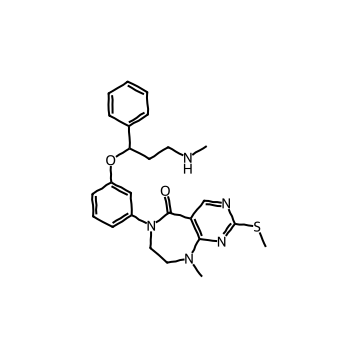 CNCCC(Oc1cccc(N2CCN(C)c3nc(SC)ncc3C2=O)c1)c1ccccc1